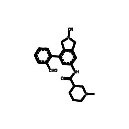 CN1CCCC(C(=O)Nc2cc3c(c(-c4ccccc4C=O)c2)CN(C#N)C3)C1